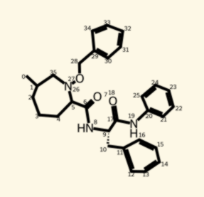 CC1CCCC(C(=O)N[C@@H](Cc2ccccc2)C(=O)Nc2ccccc2)N(OCc2ccccc2)C1